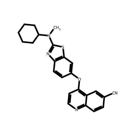 CN(c1nc2ccc(Oc3ccnc4ccc(C#N)cc34)cc2s1)C1CCCCC1